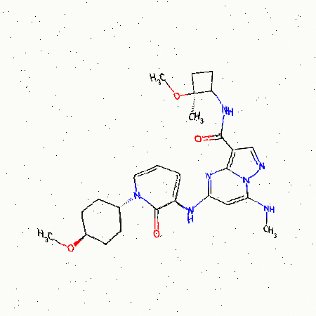 CNc1cc(Nc2cccn([C@H]3CC[C@H](OC)CC3)c2=O)nc2c(C(=O)NC3CC[C@]3(C)OC)cnn12